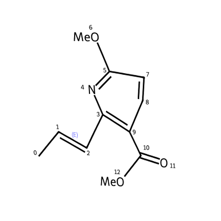 C/C=C/c1nc(OC)ccc1C(=O)OC